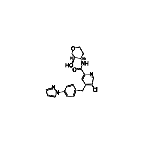 O=C(N[C@H]1CCOC[C@@H]1O)c1cc(Cc2ccc(-n3cccn3)cc2)c(Cl)cn1